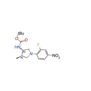 C[C@@H]1CN(c2ccc([N+](=O)[O-])cc2F)C[C@@H]1NC(=O)OC(C)(C)C